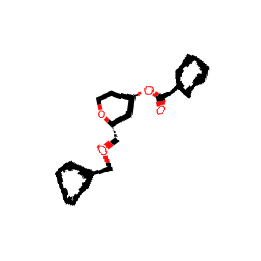 O=C(O[C@H]1CCO[C@@H](COCc2ccccc2)C1)c1ccccc1